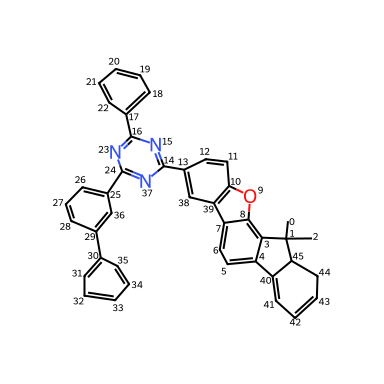 CC1(C)c2c(ccc3c2oc2ccc(-c4nc(-c5ccccc5)nc(-c5cccc(-c6ccccc6)c5)n4)cc23)C2=CC=CCC21